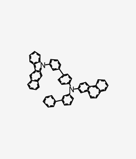 c1ccc(-c2cccc(N(c3ccc(-c4cccc(-n5c6ccccc6c6cc7ccccc7cc65)c4)cc3)c3ccc4c(ccc5ccccc54)c3)c2)cc1